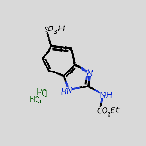 CCOC(=O)Nc1nc2cc(S(=O)(=O)O)ccc2[nH]1.Cl.Cl